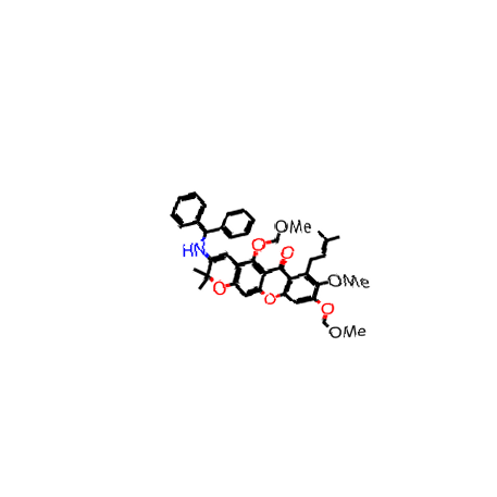 COCOc1cc2oc3cc4c(c(OCOC)c3c(=O)c2c(CC=C(C)C)c1OC)C=C(NC(c1ccccc1)c1ccccc1)C(C)(C)O4